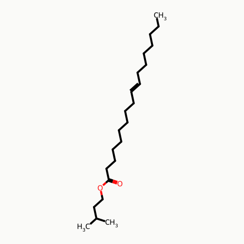 CCCCCCC/C=C/CCCCCCCCC(=O)OCCC(C)C